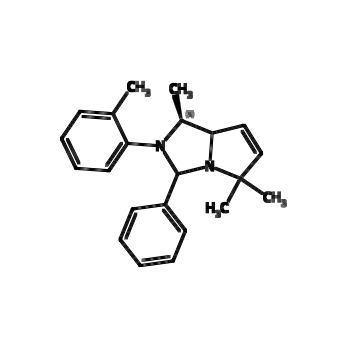 Cc1ccccc1N1C(c2ccccc2)N2C(C=CC2(C)C)[C@@H]1C